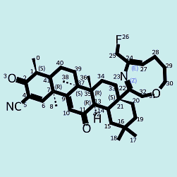 C[C@@H]1C(=O)C(C#N)=C[C@]2(C)C3=CC(=O)[C@@H]4C5CC(C)(C)CC[C@]5(/C5=N/C(CF)=C/CCCOC5)CC[C@@]4(C)[C@]3(C)CCC12